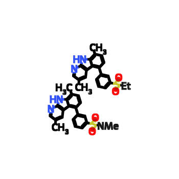 CCS(=O)(=O)c1cccc(-c2ccc(C)c3[nH]c4ncc(C)cc4c23)c1.CNS(=O)(=O)c1cccc(-c2ccc(C)c3[nH]c4ncc(C)cc4c23)c1